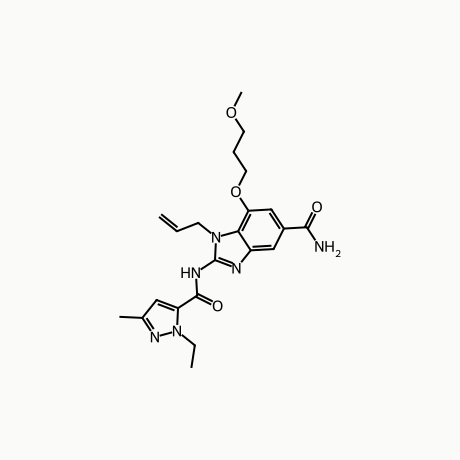 C=CCn1c(NC(=O)c2cc(C)nn2CC)nc2cc(C(N)=O)cc(OCCCOC)c21